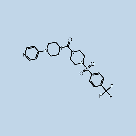 O=C(N1CCN(c2ccncc2)CC1)N1CCN(S(=O)(=O)c2ccc(C(F)(F)F)cc2)CC1